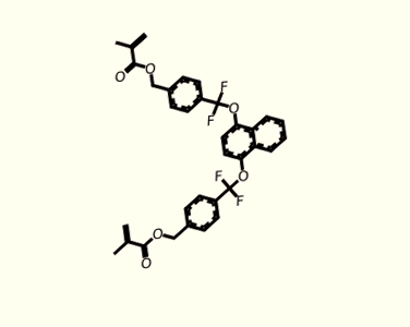 C=C(C)C(=O)OCc1ccc(C(F)(F)Oc2ccc(OC(F)(F)c3ccc(COC(=O)C(=C)C)cc3)c3ccccc23)cc1